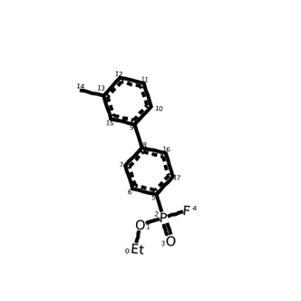 CCOP(=O)(F)c1ccc(-c2cccc(C)c2)cc1